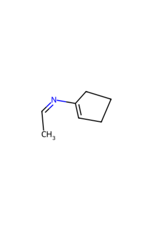 C/C=N\C1=CCCC1